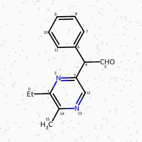 CCc1nc(C(C=O)c2ccccc2)cnc1C